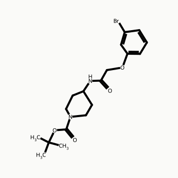 CC(C)(C)OC(=O)N1CCC(NC(=O)COc2cccc(Br)c2)CC1